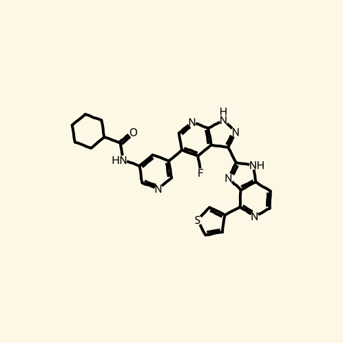 O=C(Nc1cncc(-c2cnc3[nH]nc(-c4nc5c(-c6ccsc6)nccc5[nH]4)c3c2F)c1)C1CCCCC1